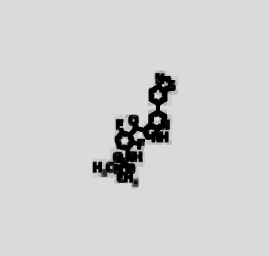 CN(C)S(=O)(=O)Nc1ccc(F)c(C(=O)c2c[nH]c3ncc(-c4ccc5ncsc5c4)cc23)c1F